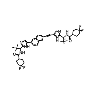 CC(C)(C)C(NC(=O)C1CCC(F)(F)CC1)c1ncc(-c2ccc3cc(C#Cc4cnc([C@@H](NC(=O)C5CCC(F)(F)CC5)C(C)(C)C)[nH]4)ccc3c2)[nH]1